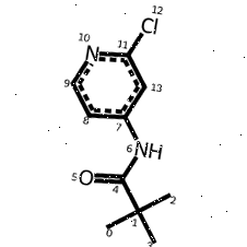 CC(C)(C)C(=O)Nc1ccnc(Cl)c1